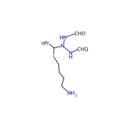 CCCC(CCCCCN)N(NC=O)NC=O